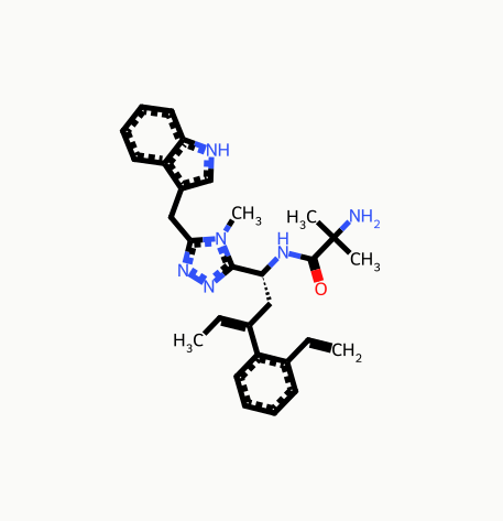 C=Cc1ccccc1/C(=C\C)C[C@@H](NC(=O)C(C)(C)N)c1nnc(Cc2c[nH]c3ccccc23)n1C